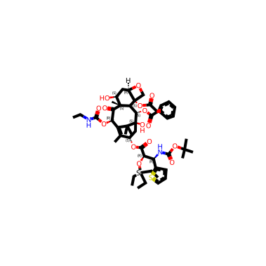 CCNC(=O)O[C@H]1C(=O)[C@@]2(C)C([C@H](OC(=O)c3ccccc3)[C@]3(O)C[C@H](OC(=O)[C@H](O[Si](CC)(CC)CC)[C@@H](NC(=O)OC(C)(C)C)c4cccs4)C(C)=C1C3(C)C)[C@]1(OC(C)=O)CO[C@@H]1C[C@@H]2O